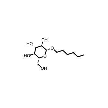 CCCCCCO[C@@H]1O[C@H](CO)[C@@H](O)[C@H](O)[C@H]1O